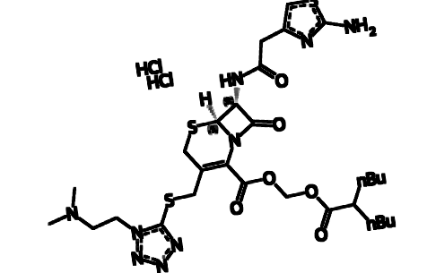 CCCCC(CCCC)C(=O)OCOC(=O)C1=C(CSc2nnnn2CCN(C)C)CS[C@H]2[C@H](NC(=O)Cc3csc(N)n3)C(=O)N12.Cl.Cl